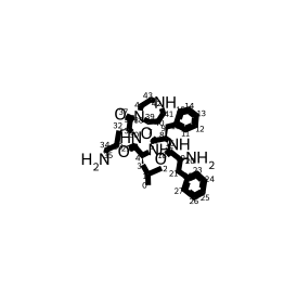 CC(C)C[C@@H](NC(=O)[C@@H](Cc1ccccc1)NC(=O)[C@H](N)Cc1ccccc1)C(=O)N[C@H](CCCN)C(=O)N1CCCNCC1